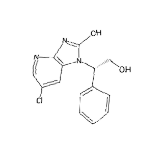 OC[C@H](c1ccccc1)n1c(O)nc2ncc(Cl)cc21